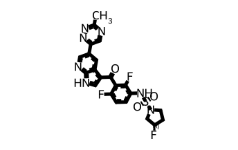 Cc1ncc(-c2cnc3[nH]cc(C(=O)c4c(F)ccc(NS(=O)(=O)N5CC[C@@H](F)C5)c4F)c3c2)nn1